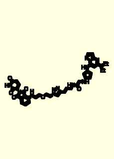 CCC(CC)c1cc(N[C@H]2CC[C@H](NCC(=O)NCCCc3cn(CCOCCNc4cccc5c4C(=O)N(C4CCC(=O)NC4=O)C5=O)nn3)C2)n2nccc2n1